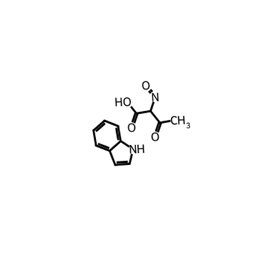 CC(=O)C(N=O)C(=O)O.c1ccc2[nH]ccc2c1